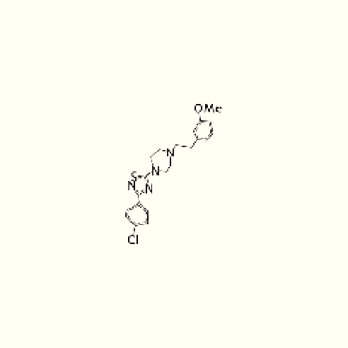 COc1cccc(CCN2CCN(c3nc(-c4ccc(Cl)cc4)ns3)CC2)c1